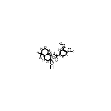 COc1ccc(C(=O)C[C@@H]2[C@@]3(C)CCCC(C)(C)C3CC[C@@]2(C)O)cc1OC